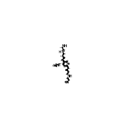 Cl.Cl.Cl.Cl.N=CCNCCCCC1C=NC(CCCCNCC=N)C=N1